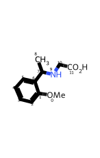 COc1ccccc1C(C)NCC(=O)O